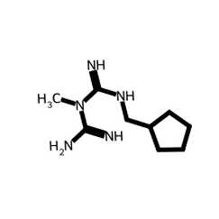 CN(C(=N)N)C(=N)NCC1CCCC1